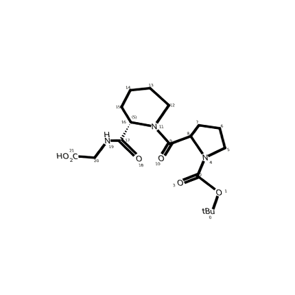 CC(C)(C)OC(=O)N1CCCC1C(=O)N1CCCC[C@H]1C(=O)NCC(=O)O